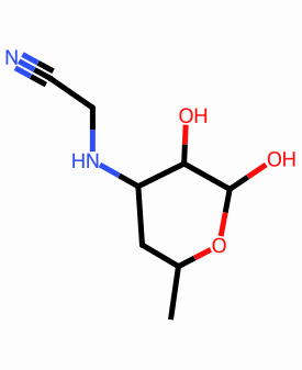 CC1CC(NCC#N)C(O)C(O)O1